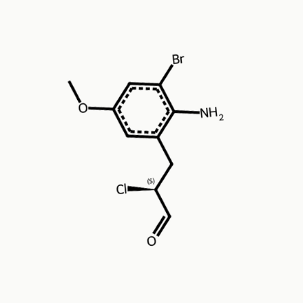 COc1cc(Br)c(N)c(C[C@H](Cl)C=O)c1